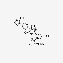 CC(=O)NC(C(=O)N1C[C@H](O)C[C@@H]1C1=NC(=O)[C@](C)(c2ccc(-c3scnc3C)cc2)N1)C(C)(C)C